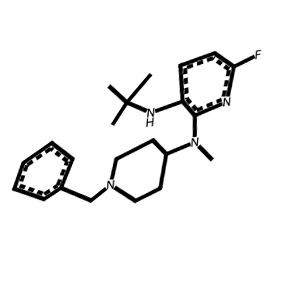 CN(c1nc(F)ccc1NC(C)(C)C)C1CCN(Cc2ccccc2)CC1